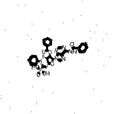 O=C(Nc1ncnc2c1ncn2[C@@H]1O[C@H](CC(Sc2ccccc2)P(=O)(O)O)[C@@H](F)C1OC(=O)c1ccccc1)c1ccccc1